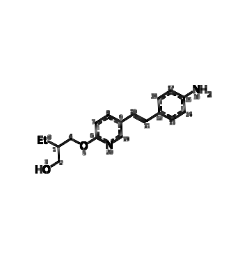 CCC(CO)COc1ccc(/C=C/c2ccc(N)cc2)cn1